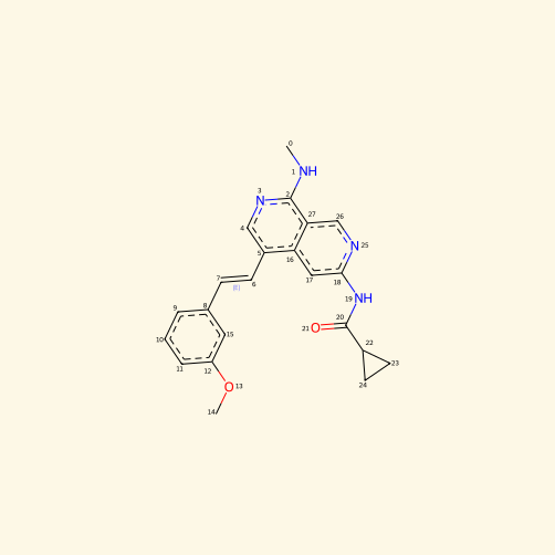 CNc1ncc(/C=C/c2cccc(OC)c2)c2cc(NC(=O)C3CC3)ncc12